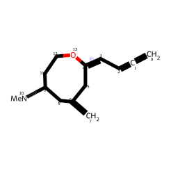 C=C=C/C=C1\CC(=C)CC(NC)CCO1